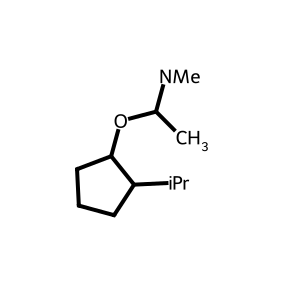 CNC(C)OC1CCCC1C(C)C